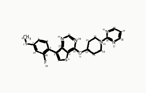 CSc1ccc(-c2csc3c(OC4CCN(c5ncccn5)CC4)ncnc23)c(F)c1